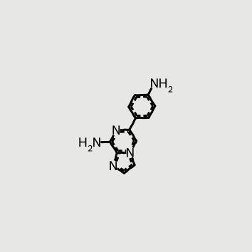 Nc1ccc(-c2cn3ccnc3c(N)n2)cc1